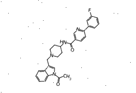 CC(=O)n1cc(CN2CCC(NC(=O)c3ccc(-c4cccc(F)c4)nc3)CC2)c2ccccc21